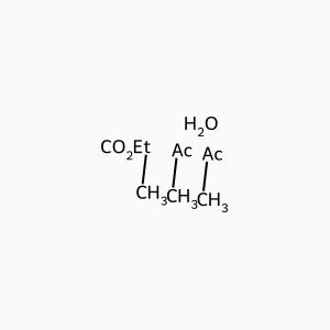 CC(C)=O.CC(C)=O.CCOC(C)=O.O